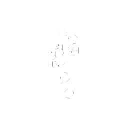 Clc1cccc(Nc2ncnc3[nH]c(-c4ccc(-c5ccccc5)cc4)cc23)c1